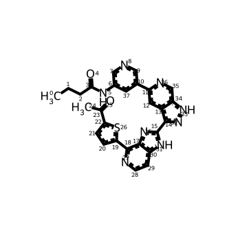 CCCC(=O)Nc1cncc(-c2cc3c(-c4nc5c(-c6ccc(C(C)=O)s6)nccc5[nH]4)n[nH]c3cn2)c1